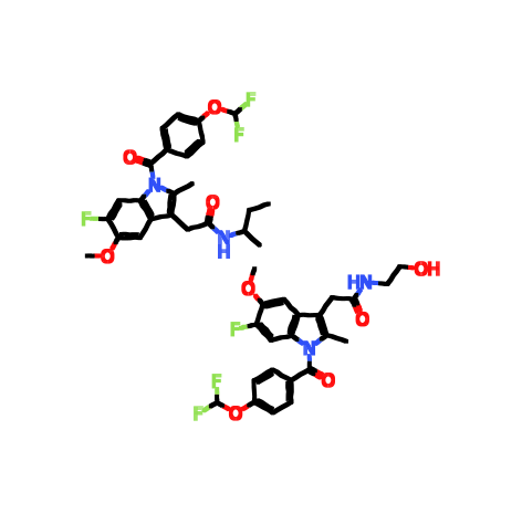 CCC(C)NC(=O)Cc1c(C)n(C(=O)c2ccc(OC(F)F)cc2)c2cc(F)c(OC)cc12.COc1cc2c(CC(=O)NCCO)c(C)n(C(=O)c3ccc(OC(F)F)cc3)c2cc1F